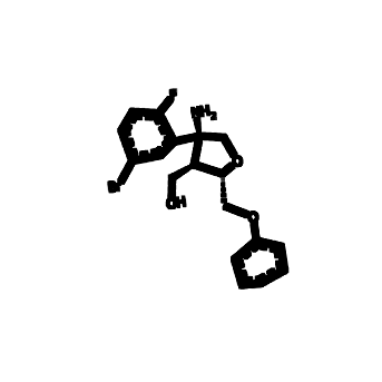 N[C@@]1(c2cc(Br)ccc2F)CO[C@H](COc2ccccc2)[C@H]1CO